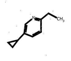 CCc1ccc(C2CC2)cn1